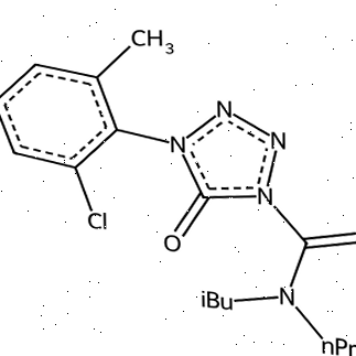 CCCN(C(=O)n1nnn(-c2c(C)cccc2Cl)c1=O)C(C)CC